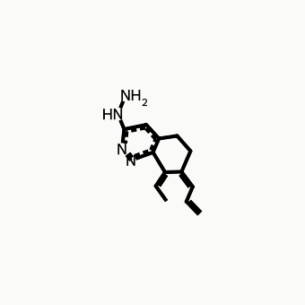 C=C/C=C1/CCc2cc(NN)nnc2/C1=C/C